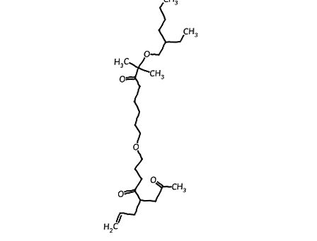 C=CCC(CC(C)=O)C(=O)CCCOCCCCCC(=O)C(C)(C)OCC(CC)CCCC